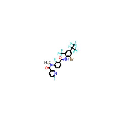 CN(C(=O)c1ccc(F)nc1)c1cccc(C(=O)Nc2c(Br)cc(C(F)(C(F)(F)F)C(F)(F)F)cc2C(F)(F)F)c1F